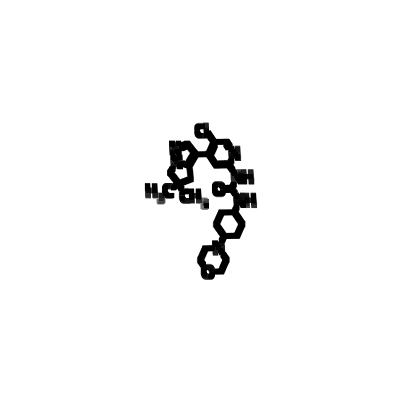 CC1(C)Cc2c(-c3cc(NC(=O)NC4CCC(N5CCOCC5)CC4)ncc3Cl)cnn2C1